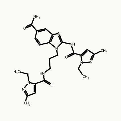 CCn1nc(C)cc1C(=O)NCCCn1c(NC(=O)c2cc(C)nn2CC)nc2cc(C(N)=O)ccc21